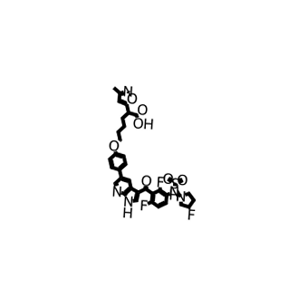 Cc1cc(C(CCCCOc2ccc(-c3cnc4[nH]cc(C(=O)c5c(F)ccc(N(N6CC[C@@H](F)C6)[SH](=O)=O)c5F)c4c3)cc2)C(=O)O)on1